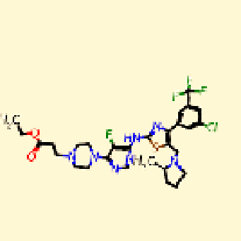 CCOC(=O)CCN1CCN(c2ncnc(Nc3nc(-c4cc(Cl)cc(C(F)(F)F)c4)c(CN4CCC[C@H]4C)s3)c2F)CC1